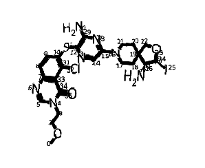 COCCn1cnc2ccc(Sc3ncc(N4CCC5(CC4)CO[C@@H](I)[C@H]5N)nc3N)c(Cl)c2c1=O